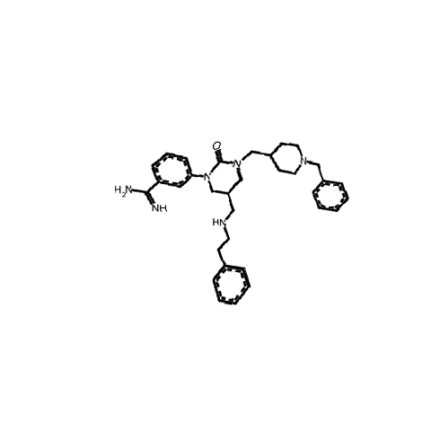 N=C(N)c1cccc(N2CC(CNCCc3ccccc3)CN(CC3CCN(Cc4ccccc4)CC3)C2=O)c1